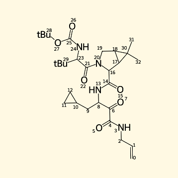 C=CCNC(=O)C(=O)C(CC1CC1)NC(=O)C1C2C(CN1C(=O)C(NC(=O)OC(C)(C)C)C(C)(C)C)C2(C)C